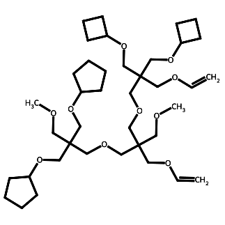 C=COCC(COC)(COCC(COC)(COC1CCCC1)COC1CCCC1)COCC(COC=C)(COC1CCC1)COC1CCC1